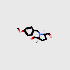 COc1ccc(CN2[C@@](C)(C=O)CC[C@@]2(C)C=O)cc1